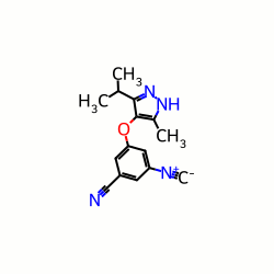 [C-]#[N+]c1cc(C#N)cc(Oc2c(C(C)C)n[nH]c2C)c1